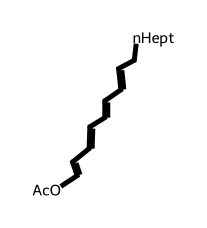 CCCCCCCCC=CC=CC=CC=COC(C)=O